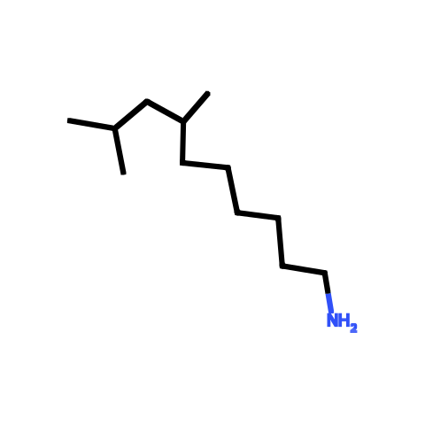 CC(C)CC(C)CCCCCCN